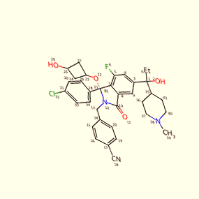 CCC(O)(c1cc(F)c2c(c1)C(=O)N(Cc1ccc(C#N)cc1)[C@@]2(OC1CC(O)C1)c1ccc(Cl)cc1)C1CCN(C)CC1